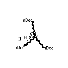 CCCCCCCCCCCCCCCCCC(CCCCCCCCCCCCCCCC)(CCCCCCCCCCCCCCCC)N(C)C.Cl